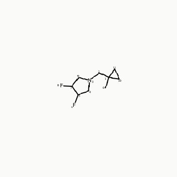 CC1(CN2CC(F)C(F)C2)CC1